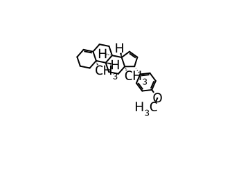 COc1ccc([C@H]2C=C[C@H]3[C@@H]4CCC5=CCCC[C@]5(C)[C@H]4CC[C@]23C)cc1